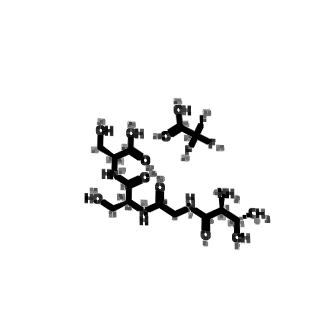 C[C@H](O)[C@H](N)C(=O)NCC(=O)N[C@@H](CO)C(=O)N[C@@H](CO)C(=O)O.O=C(O)C(F)(F)F